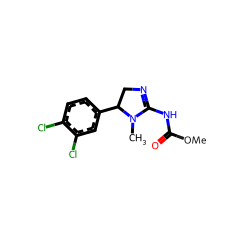 COC(=O)NC1=NCC(c2ccc(Cl)c(Cl)c2)N1C